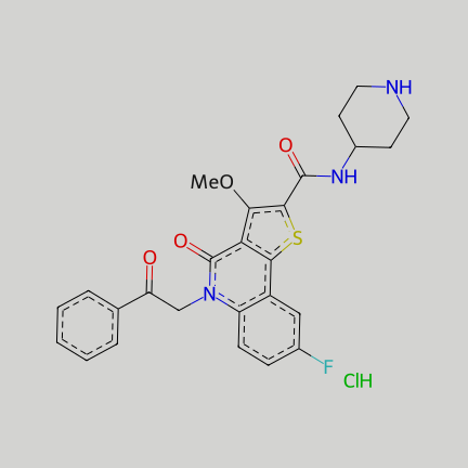 COc1c(C(=O)NC2CCNCC2)sc2c1c(=O)n(CC(=O)c1ccccc1)c1ccc(F)cc21.Cl